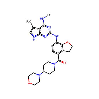 CCNc1nc(Nc2ccc(C(=O)N3CCC(N4CCOCC4)CC3)c3c2OCC3)nc2[nH]cc(C(F)(F)F)c12